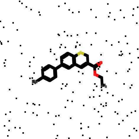 CCOC(=O)C1=Cc2cc(-c3ccc(C)cc3)ccc2SC1